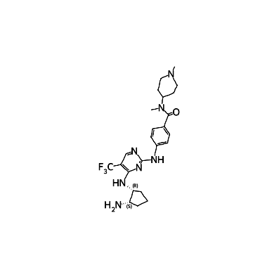 CN1CCC(N(C)C(=O)c2ccc(Nc3ncc(C(F)(F)F)c(N[C@@H]4CCC[C@@H]4N)n3)cc2)CC1